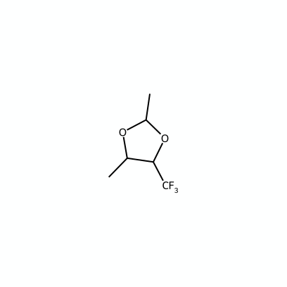 CC1OC(C)C(C(F)(F)F)O1